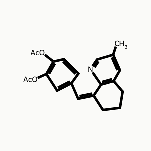 CC(=O)Oc1ccc(/C=C2/CCCc3cc(C)cnc32)cc1OC(C)=O